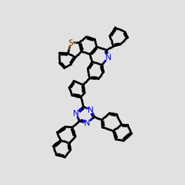 c1ccc(-c2nc3ccc(-c4cccc(-c5nc(-c6ccc7ccccc7c6)nc(-c6ccc7ccccc7c6)n5)c4)cc3c3c2ccc2sc4ccccc4c23)cc1